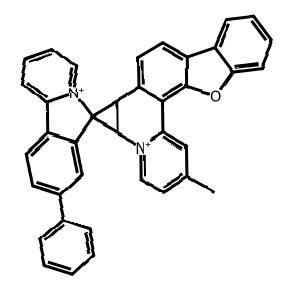 Cc1cc[n+]2c(c1)-c1c(ccc3c1oc1ccccc13)C1C2C12c1cc(-c3ccccc3)ccc1-c1cccc[n+]12